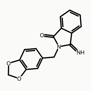 N=C1c2ccccc2C(=O)N1Cc1ccc2c(c1)OCO2